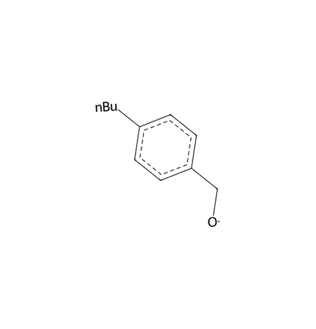 CCCCc1ccc(C[O])cc1